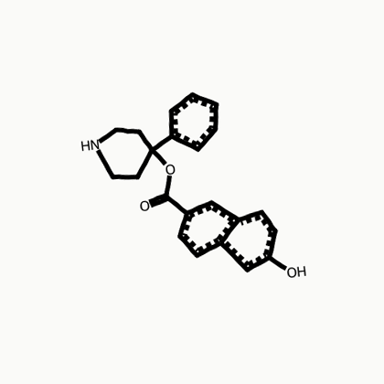 O=C(OC1(c2ccccc2)CCNCC1)c1ccc2cc(O)ccc2c1